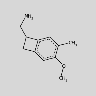 COc1cc2c(cc1C)C(CN)C2